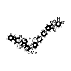 COc1ncc(-c2ccnc(N3CCc4c(sc5c4CCCC5)C3=O)c2C(C)(C)O)cc1Nc1ccc(N2CCN(C3CCN(c4ccc5c(c4)C(=O)N([C@H]4CCC(=O)NC4=O)C5=O)CC3)C[C@@H]2C)cn1